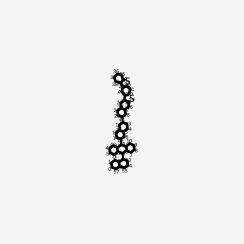 c1ccc2c(-c3c4ccccc4c(-c4ccc5cc(-c6ccc7cc8c(cc7c6)sc6cc7sc9ccccc9c7cc68)ccc5c4)c4ccccc34)cccc2c1